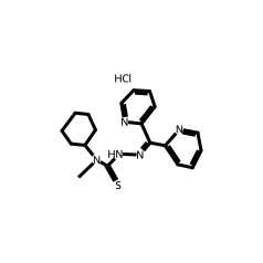 CN(C(=S)NN=C(c1ccccn1)c1ccccn1)C1CCCCC1.Cl